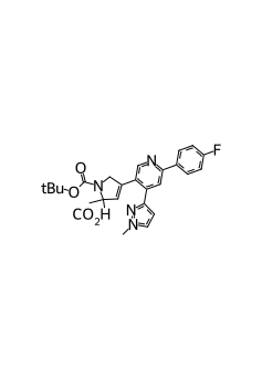 Cn1ccc(-c2cc(-c3ccc(F)cc3)ncc2C2=CC(C)(C(=O)O)N(C(=O)OC(C)(C)C)C2)n1